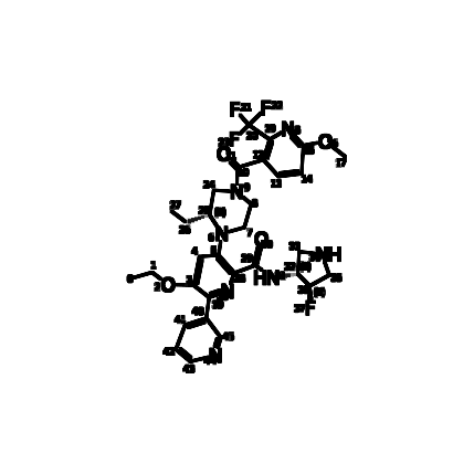 CCOc1cc(N2CCN(C(=O)c3ccc(OC)nc3C(F)(F)F)C[C@H]2CC)c(C(=O)N[C@@H]2CNC[C@H]2F)nc1-c1cccnc1